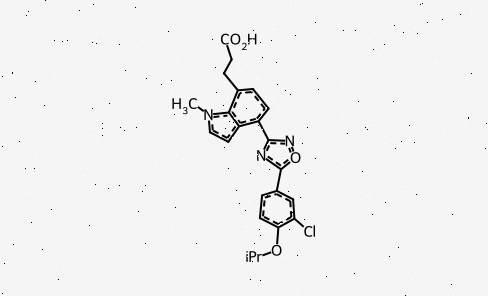 CC(C)Oc1ccc(-c2nc(-c3ccc(CCC(=O)O)c4c3ccn4C)no2)cc1Cl